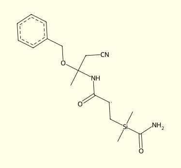 CC(CC#N)(NC(=O)[CH]C[Si](C)(C)C(N)=O)OCc1ccccc1